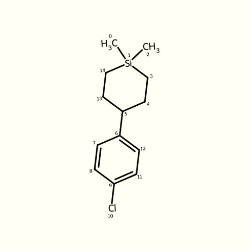 C[Si]1(C)CCC(c2ccc(Cl)cc2)CC1